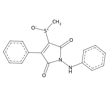 C[S+]([O-])C1=C(c2ccccc2)C(=O)N(Nc2ccccc2)C1=O